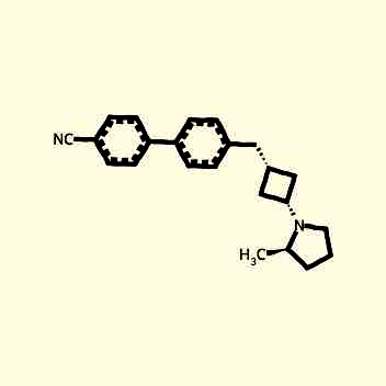 C[C@@H]1CCCN1[C@H]1C[C@@H](Cc2ccc(-c3ccc(C#N)cc3)cc2)C1